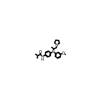 COc1cccc(N(c2ccc(NC(=O)C(C)C)cc2)C(C)CN2CCCC2)c1